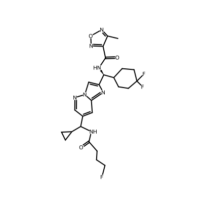 Cc1nonc1C(=O)N[C@H](c1cn2ncc(C(NC(=O)CCCF)C3CC3)cc2n1)C1CCC(F)(F)CC1